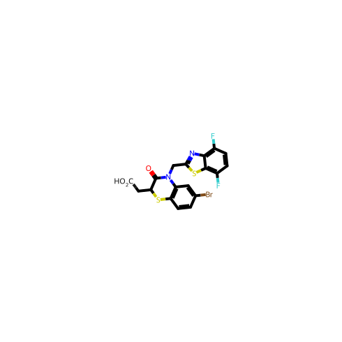 O=C(O)CC1Sc2ccc(Br)cc2N(Cc2nc3c(F)ccc(F)c3s2)C1=O